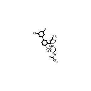 NC1=NC2(CO1)c1cc(-c3cc(F)cc(Cl)c3)ccc1O[C@H]1C[C@@H](OC(=O)C(F)(F)F)CC[C@@H]12